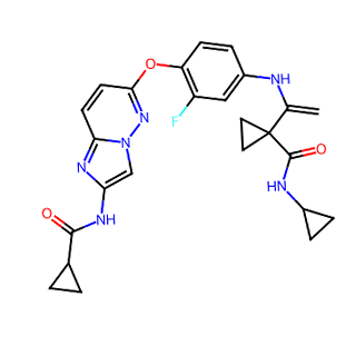 C=C(Nc1ccc(Oc2ccc3nc(NC(=O)C4CC4)cn3n2)c(F)c1)C1(C(=O)NC2CC2)CC1